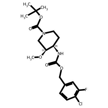 CO[C@H]1CN(C(=O)OC(C)(C)C)CC[C@H]1NC(=O)OCc1ccc(Cl)c(F)c1